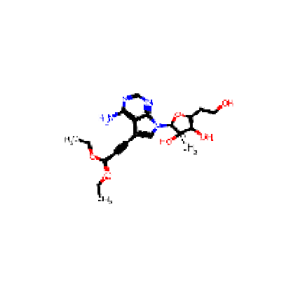 CCOC(C#Cc1cn(C2OC(CCO)C(O)[C@@]2(C)O)c2ncnc(N)c12)OCC